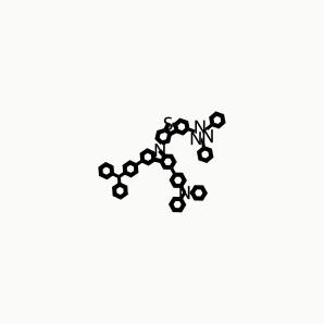 c1ccc(-c2nc(-c3ccccc3)nc(-c3ccc4sc5ccc(-n6c7ccc(-c8ccc(C(c9ccccc9)c9ccccc9)cc8)cc7c7cc(-c8ccc(N(c9ccccc9)c9ccccc9)cc8)ccc76)cc5c4c3)n2)cc1